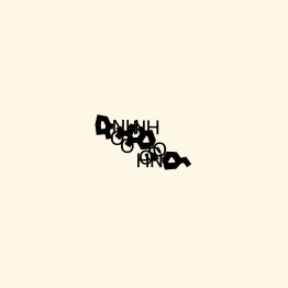 CCc1ccc(NS(=O)(=O)c2ccc3[nH]cc(C(=O)NC4CCCCC4C)c(=O)c3c2)cc1